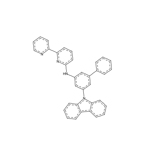 c1ccc(-c2cc(Nc3cccc(-c4ccccn4)n3)cc(-n3c4ccccc4c4ccccc43)c2)cc1